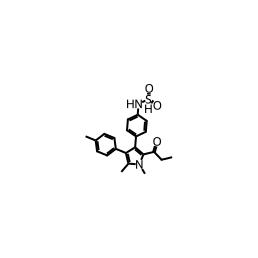 CCC(=O)c1c(-c2ccc(N[SH](=O)=O)cc2)c(-c2ccc(C)cc2)c(C)n1C